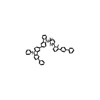 CC1C(c2ccc(-c3ccccc3)cc2)=CC=CC1c1ccnc(-n2c3ccccc3c3cc(-c4ccc5c(c4)c4cc(-c6ccccc6)ccc4n5-c4ccccc4)ccc32)n1